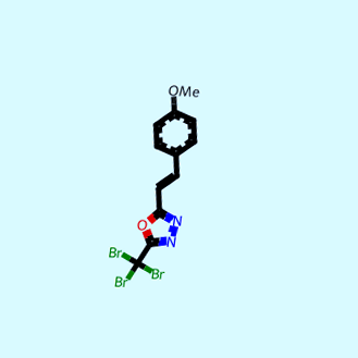 COc1ccc(/C=C/c2nnc(C(Br)(Br)Br)o2)cc1